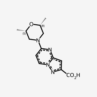 C[C@@H]1CN(c2ccn3nc(C(=O)O)cc3n2)C[C@H](C)O1